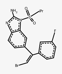 CC(C)S(=O)(=O)n1c(N)nc2ccc(/C(=C\Br)c3cccc(F)c3)cc21